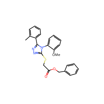 COc1ccccc1-n1c(SCC(=O)OCc2ccccc2)nnc1-c1ccccc1C